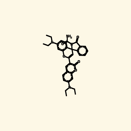 CCN(CC)c1ccc2c(c1)OC(c1cc3ccc(N(CC)CC)cc3oc1=O)=CC21c2ccccc2C(=O)N1C(N)=O